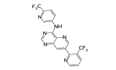 FC(F)(F)c1ccc(Nc2ncnc3cc(-c4ncccc4C(F)(F)F)cnc23)cn1